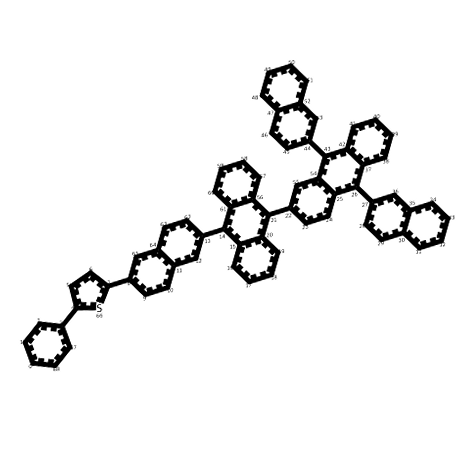 c1ccc(-c2ccc(-c3ccc4cc(-c5c6ccccc6c(-c6ccc7c(-c8ccc9ccccc9c8)c8ccccc8c(-c8ccc9ccccc9c8)c7c6)c6ccccc56)ccc4c3)s2)cc1